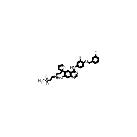 COc1cc2ncnc(Nc3ccc(OCc4cccc(F)c4)c(Br)c3)c2cc1C1(CCNCCS(C)(=O)=O)CC=CO1